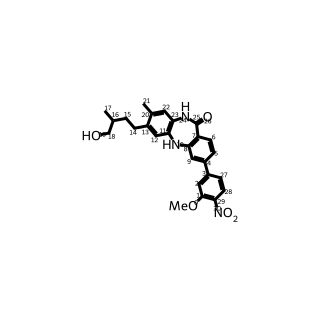 COc1cc(-c2ccc3c(c2)Nc2cc(CCC(C)CO)c(C)cc2NC3=O)ccc1[N+](=O)[O-]